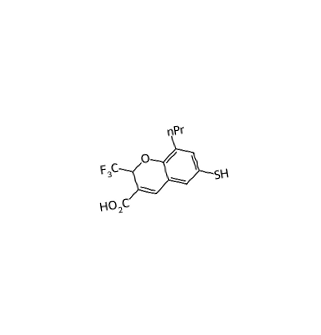 CCCc1cc(S)cc2c1OC(C(F)(F)F)C(C(=O)O)=C2